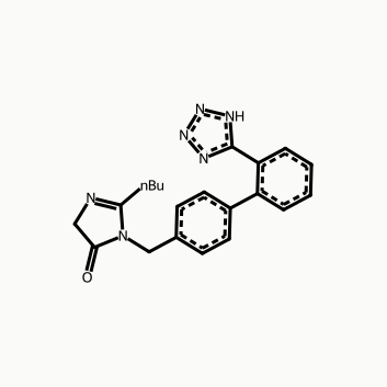 CCCCC1=NCC(=O)N1Cc1ccc(-c2ccccc2-c2nnn[nH]2)cc1